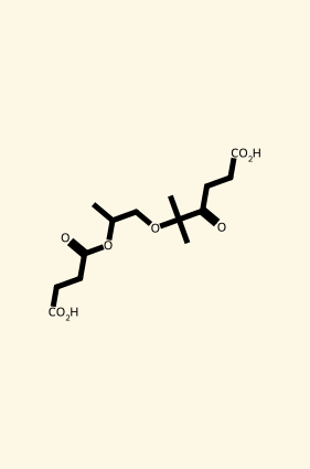 CC(COC(C)(C)C(=O)CCC(=O)O)OC(=O)CCC(=O)O